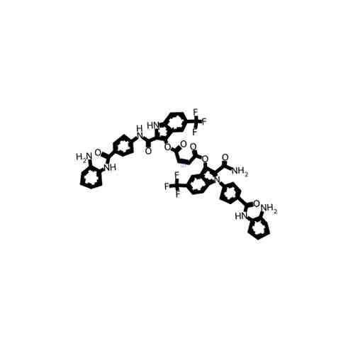 NC(=O)c1c(OC(=O)/C=C\C(=O)Oc2c(C(=O)Nc3ccc(C(=O)Nc4ccccc4N)cc3)[nH]c3ccc(C(F)(F)F)cc23)c2cc(C(F)(F)F)ccc2n1-c1ccc(C(=O)Nc2ccccc2N)cc1